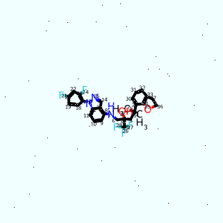 CC(C)(CC(O)(CNc1cccc2c1cnn2-c1ccc(F)cc1F)C(F)(F)F)c1cccc2c1OCC2